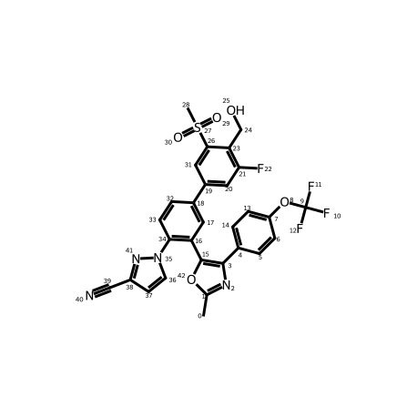 Cc1nc(-c2ccc(OC(F)(F)F)cc2)c(-c2cc(-c3cc(F)c(CO)c(S(C)(=O)=O)c3)ccc2-n2ccc(C#N)n2)o1